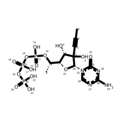 CC#CC1(O)[C@@H](O)[C@@H]([C@H](C)OP(=O)(O)OP(=O)(O)OP(=O)(O)O)O[C@H]1n1cnc(N)nc1=O